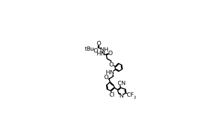 CC(C)(C)OC(=O)NNC(=O)CCOc1ccccc1NCC(=O)c1ccc(Cl)c(-c2cnc(C(F)(F)F)cc2C#N)c1